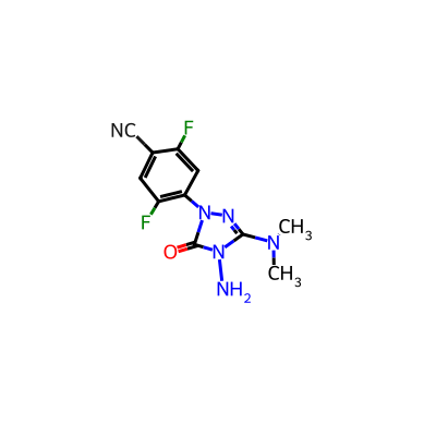 CN(C)c1nn(-c2cc(F)c(C#N)cc2F)c(=O)n1N